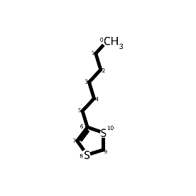 CCCCCCC1=CSCS1